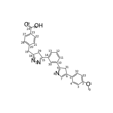 COc1ccc(C2=CN=C(c3cccc(C4=NN=C(Cc5ccc(C(=O)O)cc5)C4)c3)C2)cc1